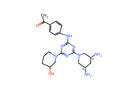 CC(=O)c1ccc(Nc2nc(N3CCCC(O)C3)nc(N3C[C@H](N)C[C@H](N)C3)n2)cc1